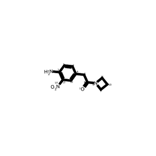 Nc1ccc(CC(=O)N2CCC2)cc1[N+](=O)[O-]